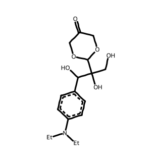 CCN(CC)c1ccc(C(O)C(O)(CO)C2OCC(=O)CO2)cc1